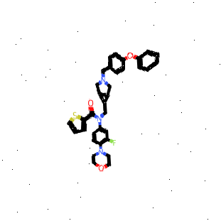 O=C(c1cccs1)N(CC1C2CN(Cc3ccc(Oc4ccccc4)cc3)CC21)c1ccc(N2CCOCC2)c(F)c1